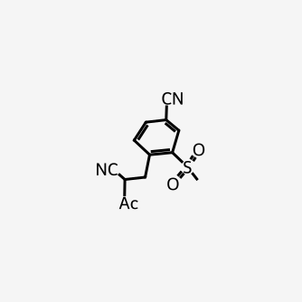 CC(=O)C(C#N)Cc1ccc(C#N)cc1S(C)(=O)=O